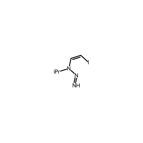 CC(C)N(/C=C\I)N=N